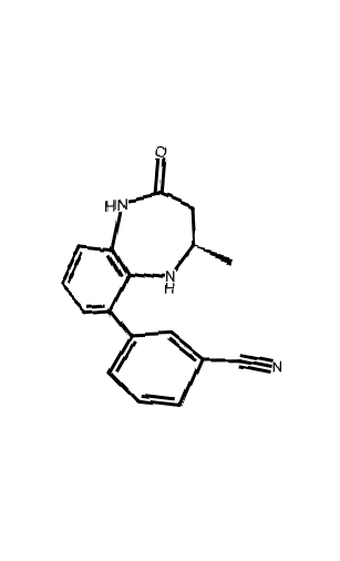 C[C@@H]1CC(=O)Nc2cccc(-c3cccc(C#N)c3)c2N1